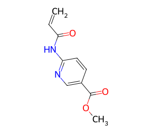 C=CC(=O)Nc1ccc(C(=O)OC)cn1